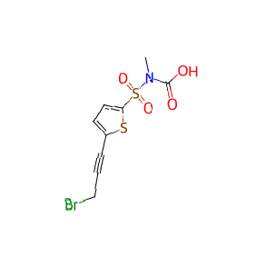 CN(C(=O)O)S(=O)(=O)c1ccc(C#CCBr)s1